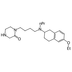 CCCN(CCCCN1CCNCC1=O)C1CCc2cc(OCC)ccc2C1